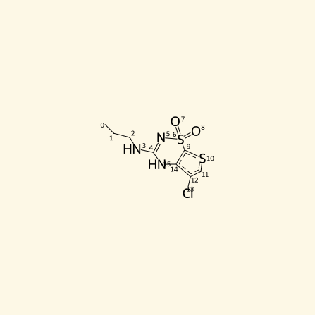 CCCNC1=NS(=O)(=O)c2scc(Cl)c2N1